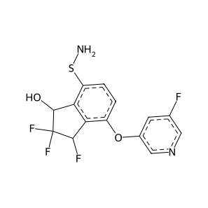 NSc1ccc(Oc2cncc(F)c2)c2c1C(O)C(F)(F)C2F